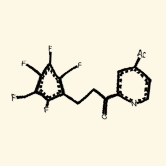 CC(=O)c1ccnc(C(=O)CCc2c(F)c(F)c(F)c(F)c2F)c1